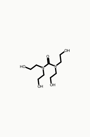 O=C(N(CCO)CCO)N(CCO)CCO